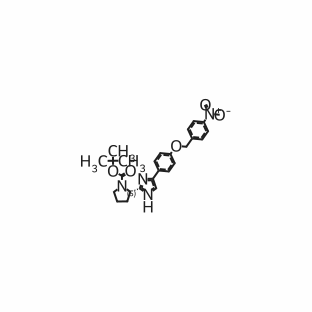 CC(C)(C)OC(=O)N1CCC[C@H]1c1nc(-c2ccc(OCc3ccc([N+](=O)[O-])cc3)cc2)c[nH]1